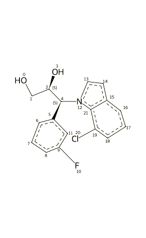 OC[C@@H](O)[C@H](c1cccc(F)c1)n1ccc2cccc(Cl)c21